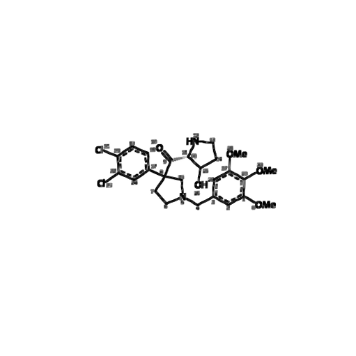 COc1cc(CN2CCC(C(=O)[C@@H]3NCCC3O)(c3ccc(Cl)c(Cl)c3)C2)cc(OC)c1OC